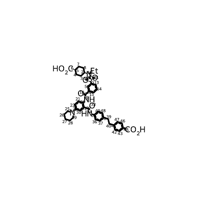 CCN([C@H]1CC[C@H](C(=O)O)CC1)S(=O)(=O)c1cccc(C(=O)Nc2ccc(N3CCCCC3)cc2C(=O)Nc2ccc(CCc3ccc(C(=O)O)cc3)cc2)c1